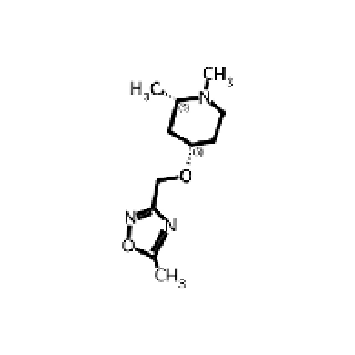 Cc1nc(CO[C@H]2CCN(C)[C@@H](C)C2)no1